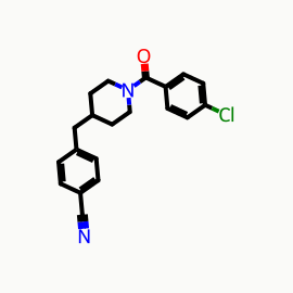 N#Cc1ccc(CC2CCN(C(=O)c3ccc(Cl)cc3)CC2)cc1